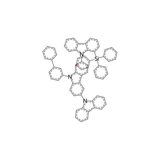 c1ccc(-c2cccc(-n3c4ccc(-n5c6ccccc6c6ccccc65)cc4c4ccc(-n5c6ccccc6c6cccc([Si](c7ccccc7)(c7ccccc7)c7ccccc7)c65)cc43)c2)cc1